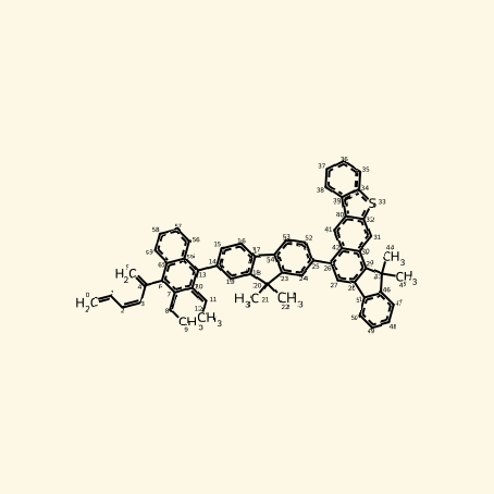 C=C/C=C\C(=C)c1c(=C/C)/c(=C\C)c(-c2ccc3c(c2)C(C)(C)c2cc(-c4cc5c(c6cc7sc8ccccc8c7cc46)C(C)(C)c4ccccc4-5)ccc2-3)c2ccccc12